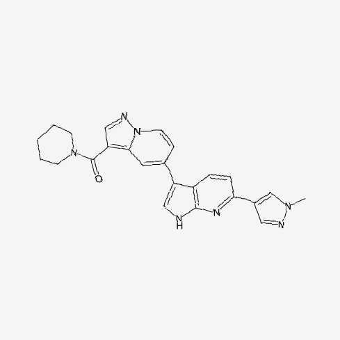 Cn1cc(-c2ccc3c(-c4ccn5ncc(C(=O)N6CCCCC6)c5c4)c[nH]c3n2)cn1